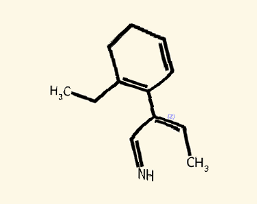 C/C=C(\C=N)C1=C(CC)CCC=C1